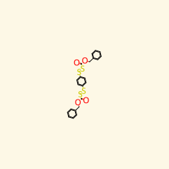 O=C(OCc1ccccc1)SSc1ccc(SSC(=O)OCc2ccccc2)cc1